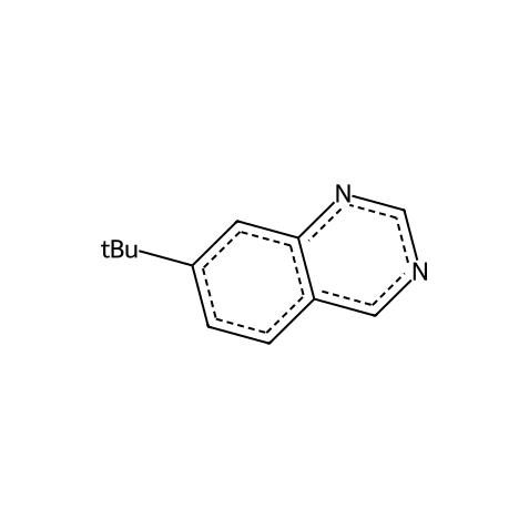 CC(C)(C)c1ccc2cncnc2c1